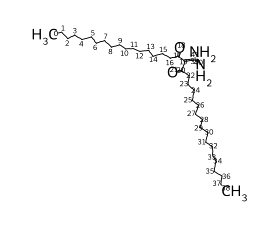 CCCCCCCCCCCCCCCCCC(=O)C(C(=O)CCCCCCCCCCCCCCCCC)=C(N)N